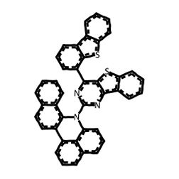 c1ccc2c3c(ccc2c1)-c1cccc2cccc(c12)N3c1nc(-c2cccc3c2sc2ccccc23)c2sc3ccccc3c2n1